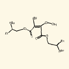 CCCCC(CC)COC(=O)/C(OO)=C(\C(=O)OCC(CC)CCCC)C(C)(C)C